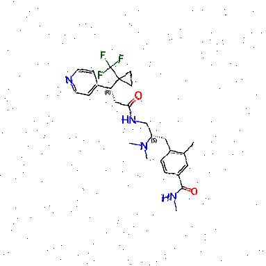 CNC(=O)c1ccc(C[C@@H](CNC(=O)C[C@H](c2ccncc2)C2(C(F)(F)F)CC2)N(C)C)c(C)c1